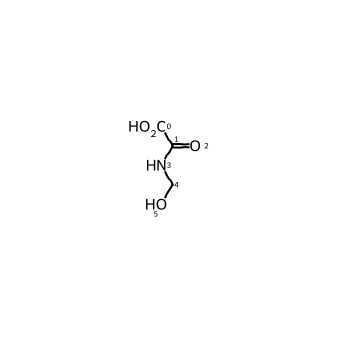 O=C(O)C(=O)NCO